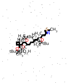 CC[C@@H](C(=O)C1([C@H](CC(=O)O)O[Si](C)(C)C(C)(C)C)CCC1)[C@@H](O[Si](C)(C)C(C)(C)C)[C@@H](C)CCC/C(C)=C/C[C@H](O[Si](C)(C)C(C)(C)C)/C(C)=C/c1csc(C)n1